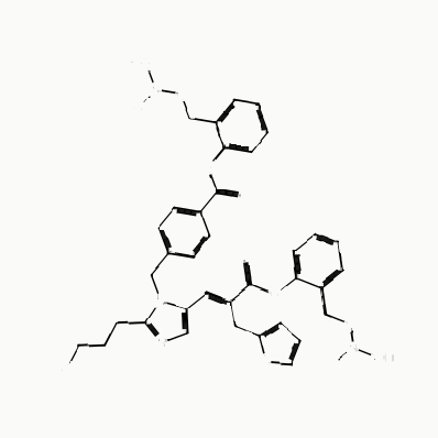 CCCCc1ncc(/C=C(\Cc2cccs2)C(=O)Oc2ccccc2CON(O)O)n1Cc1ccc(C(=O)Oc2ccccc2CON(O)O)cc1